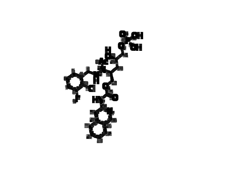 CC(=O)N(NCc1cccc(F)c1Cl)[C@H](COC(=O)Nc1cc2ccccc2cn1)C[C@@H](O)COP(=O)(O)O